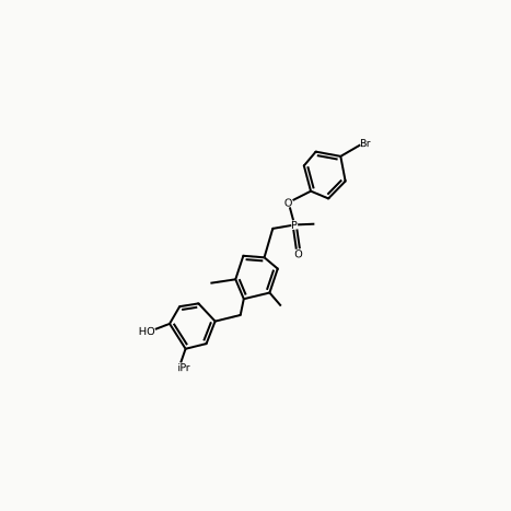 Cc1cc(CP(C)(=O)Oc2ccc(Br)cc2)cc(C)c1Cc1ccc(O)c(C(C)C)c1